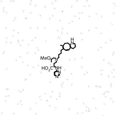 CO[C@H](C)CN(CCCCC1=C(\C)CCC2=C(/C=C\1)CCCN2)CC[C@H](Nc1ccncn1)C(=O)O